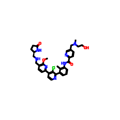 COc1nc(-c2ccnc(-c3cccc(NC(=O)c4ccc(CN(C)CCO)cn4)c3C)c2Cl)ccc1CNC[C@H]1CCC(=O)N1